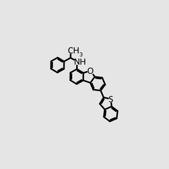 CC(Nc1cccc2c1oc1ccc(-c3cc4ccccc4s3)cc12)c1ccccc1